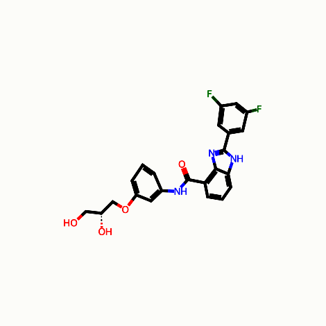 O=C(Nc1cccc(OC[C@H](O)CO)c1)c1cccc2[nH]c(-c3cc(F)cc(F)c3)nc12